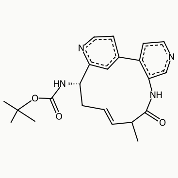 CC1/C=C/C[C@H](NC(=O)OC(C)(C)C)c2cc(ccn2)-c2ccncc2NC1=O